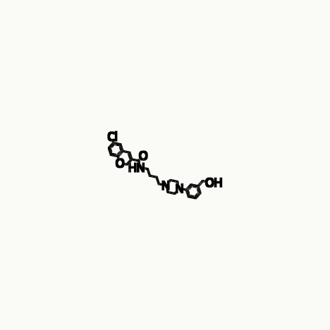 O=C(NCCCCN1CCN(c2cccc(CO)c2)CC1)C1=Cc2cc(Cl)ccc2OC1